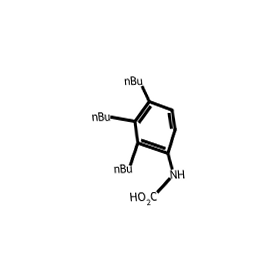 CCCCc1ccc(NC(=O)O)c(CCCC)c1CCCC